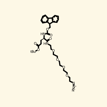 CC(C)(C)OC(=O)CC[C@@H](NC(=O)OCC1c2ccccc2-c2ccccc21)C(=O)NCCOCCOCCOCCOCCN=[N+]=[N-]